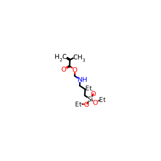 C=C(C)C(=O)OCNCCC[Si](OCC)(OCC)OCC